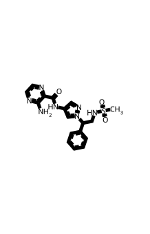 CS(=O)(=O)NCC(c1ccccc1)n1cc(NC(=O)c2nccnc2N)cn1